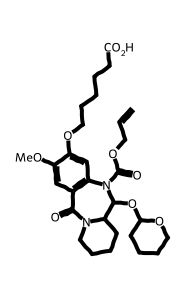 C=CCOC(=O)N1c2cc(OCCCCCC(=O)O)c(OC)cc2C(=O)N2CCCCC2C1OC1CCCCO1